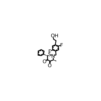 C[C@H]1C(=O)C(=O)[C@@H](c2ccccc2)SN1Cc1cc(F)c(CCO)cc1F